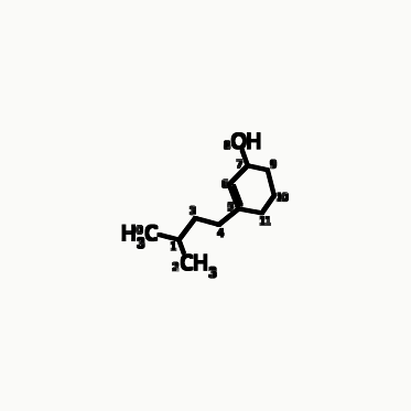 CC(C)CCC1=CC(O)CCC1